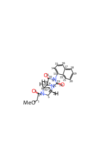 COCC(=O)N1C[C@@H]2C[C@H]1[C@H]1C(=O)N(c3cccc4ccccc34)C(=O)N21